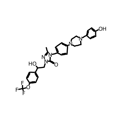 Cc1nn(CC(O)c2ccc(OC(F)(F)F)cc2)c(=O)n1-c1ccc(N2CCN(c3ccc(O)cc3)CC2)cc1